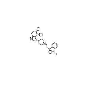 CC(CCN1CCC(n2cnc3ccc(Cl)c(Cl)c32)CC1)c1ccccc1